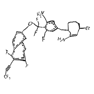 CCC1C=C(N)C(c2cc(N)c(C(F)(F)Oc3ccc4c(F)c(C#CC(F)(F)F)c(F)cc4c3)c(F)c2)CC1